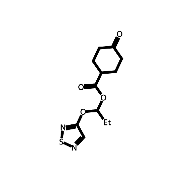 CCC(OC(=O)C1CCC(=O)CC1)Oc1cnsn1